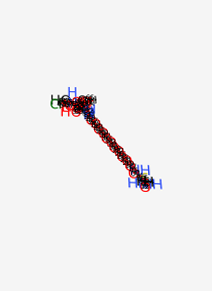 O=C(CCCC[C@@H]1SC[C@@H]2NC(=O)N[C@@H]21)NCCOCCOCCOCCOCCOCCOCCOCCOCCOCCOCCOCCn1cc(CO[C@H]2C[C@](OCc3ccccc3)(C(=O)O)O[C@@H]([C@H](O)[C@H](O)CNC(=O)Cc3ccc(Cl)cc3)[C@@H]2NC(=O)CO)nn1